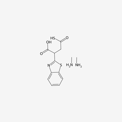 CN.CN.O=C(S)CC(C(=O)O)c1nc2ccccc2s1